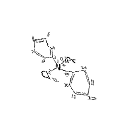 CC(C)[N+](C)(c1ccccc1)c1ccccc1.[Cl-]